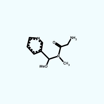 COC(c1cccnc1)N(C)C(=O)CN